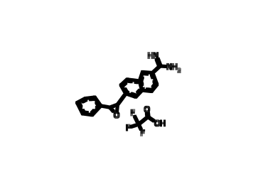 N=C(N)c1ccc2cc(C3OC3c3ccccc3)ccc2c1.O=C(O)C(F)(F)F